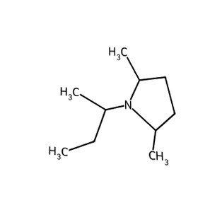 CCC(C)N1C(C)CCC1C